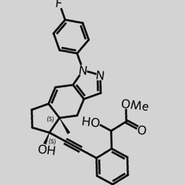 COC(=O)C(O)c1ccccc1C#C[C@]1(O)CCC2=Cc3c(cnn3-c3ccc(F)cc3)C[C@@]21C